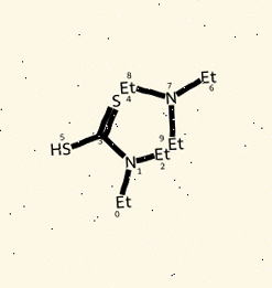 CCN(CC)C(=S)S.CCN(CC)CC